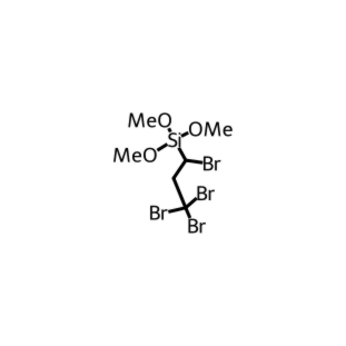 CO[Si](OC)(OC)C(Br)CC(Br)(Br)Br